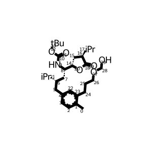 Cc1ccc(C[C@@H](C[C@H](NC(=O)OC(C)(C)C)[C@@H]2C[C@@H](C(C)C)C(=O)O2)C(C)C)cc1CCCOCO